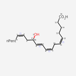 CCCCC/C=C\C[C@@H](O)/C=C/C=C\C/C=C\CCCC(=O)O